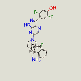 NC[C@]1(c2ccccc2F)[C@@H]2CCN(c3cnc4c(-c5cc(F)c(O)cc5F)n[nH]c4n3)C[C@@H]21